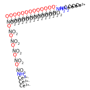 O=[N+]([O-])[O-].O=[N+]([O-])[O-].O=[N+]([O-])[O-].O=[N+]([O-])[O-].O=[N+]([O-])[O-].O=[N+]([O-])[O-].O=[N+]([O-])[O-].O=[N+]([O-])[O-].O=[N+]([O-])[O-].O=[N+]([O-])[O-].O=[N+]([O-])[O-].O=[N+]([O-])[O-].O=[N+]([O-])[O-].O=[N+]([O-])[O-].O=[N+]([O-])[O-].O=[N+]([O-])[O-].O=[N+]([O-])[O-].O=[N+]([O-])[O-].[Ce+3].[Ce+3].[Ce+3].[Ce+3].[Ce+3].[Ce+3].[Ce+3].[NH2-].[NH2-].[NH2-]